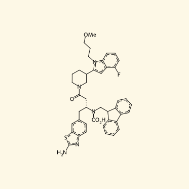 COCCCn1c(C2CCCN(C(=O)C[C@@H](Cc3ccc4nc(N)sc4c3)N(CC3c4ccccc4-c4ccccc43)C(=O)O)C2)cc2c(F)cccc21